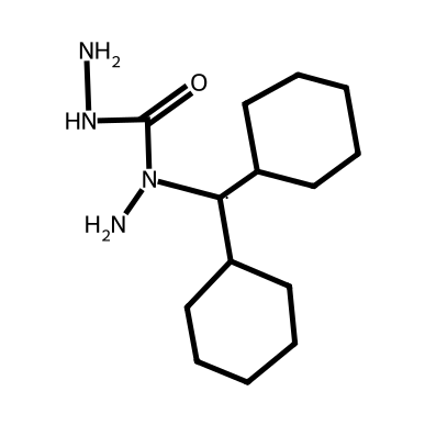 NNC(=O)N(N)[C](C1CCCCC1)C1CCCCC1